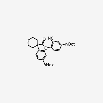 CCCCCCCCc1ccc(OC(=O)C2(c3ccc(CCCCCC)cc3)CCCCC2)c(C#N)c1